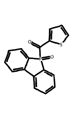 O=C(c1cccs1)P1(=O)c2ccccc2-c2ccccc21